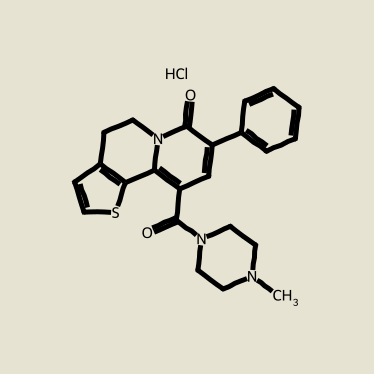 CN1CCN(C(=O)c2cc(-c3ccccc3)c(=O)n3c2-c2sccc2CC3)CC1.Cl